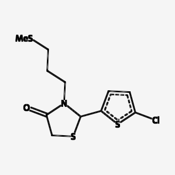 CSCCCN1C(=O)CSC1c1ccc(Cl)s1